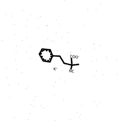 [C-]#[N+]C(C)(CCc1ccccc1)C(=O)[O-].[K+]